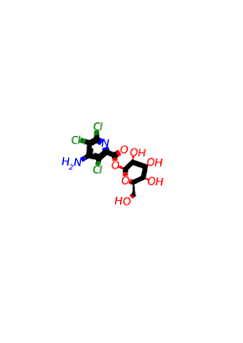 Nc1c(Cl)c(Cl)nc(C(=O)O[C@@H]2O[C@H](CO)[C@@H](O)[C@H](O)[C@H]2O)c1Cl